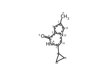 Cc1cc2c(=O)[nH]c(C3CC3)cn2c1